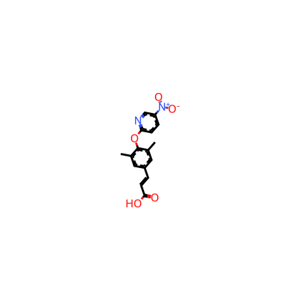 Cc1cc(C=CC(=O)O)cc(C)c1Oc1ccc([N+](=O)[O-])cn1